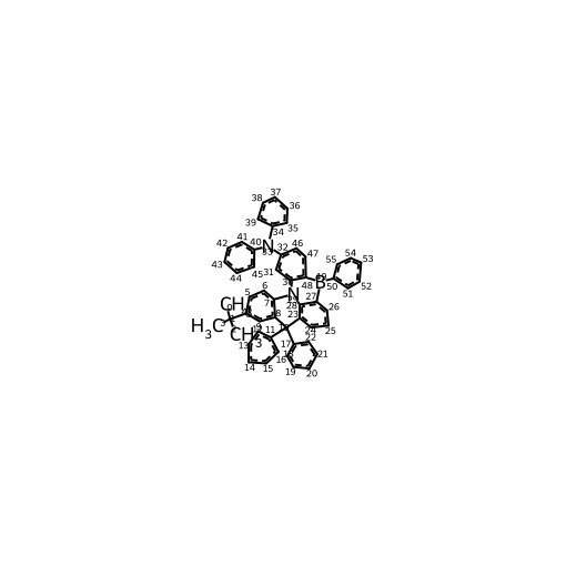 CC(C)(C)c1ccc2c(c1)C(c1ccccc1)(c1ccccc1)c1cccc3c1N2c1cc(N(c2ccccc2)c2ccccc2)ccc1B3c1ccccc1